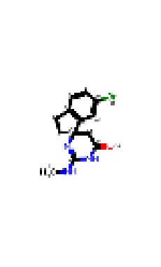 CNC1=N[C@@]2(CCc3ccc(Br)cc32)CC(=O)N1